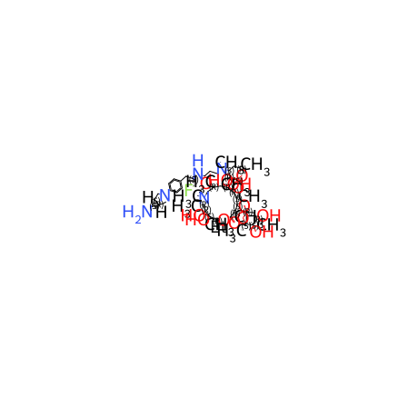 CC[C@H]1OC(=O)[C@H](C)[C@@H](O[C@H]2C[C@@](C)(O)[C@@H](O)[C@H](C)O2)[C@H](C)[C@@H](O[C@@H]2O[C@H](C)C[C@H](N(C)CCC(=O)N[C@H](CF)Cc3ccc(N4C[C@@H]5[C@@H](N)[C@@H]5C4)cc3)[C@H]2O)[C@](C)(O)C[C@@H](C)CN(C)[C@H](C)[C@@H](O)[C@]1(C)O